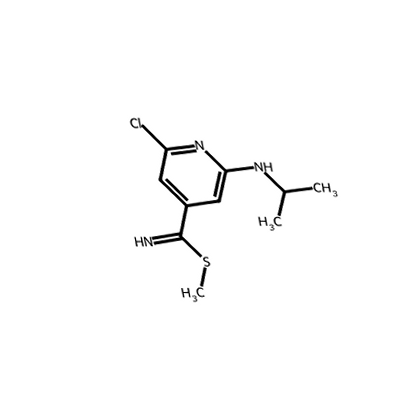 CSC(=N)c1cc(Cl)nc(NC(C)C)c1